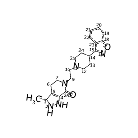 CC1NNC2=C1CCN(CCN1CCC(c3noc4ccccc34)CC1)C2=O